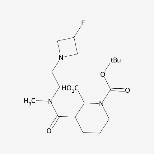 CN(CCN1CC(F)C1)C(=O)C1CCCN(C(=O)OC(C)(C)C)C1C(=O)O